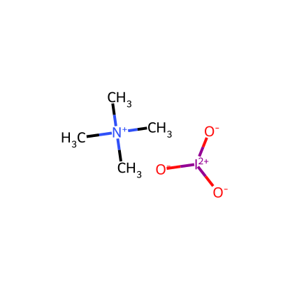 C[N+](C)(C)C.[O-][I+2]([O-])[O-]